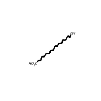 CCCC=CCC=CCC=CCC=CCC=CCCC(=O)O